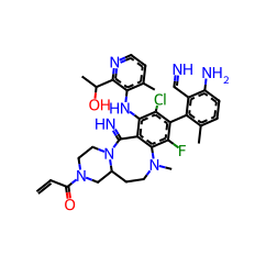 C=CC(=O)N1CCN2C(=N)c3c(Nc4c(C)ccnc4C(C)O)c(Cl)c(-c4c(C)ccc(N)c4C=N)c(F)c3N(C)CCC2C1